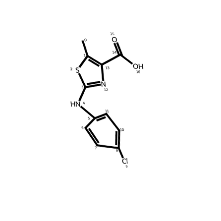 Cc1sc(Nc2ccc(Cl)cc2)nc1C(=O)O